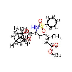 C[C@@H](CC[C@H](NS(=O)(=O)c1ccccc1)B1O[C@@H]2C[C@@H]3C[C@@H](C3(C)C)[C@]2(C)O1)CC(=O)OC(C)(C)C